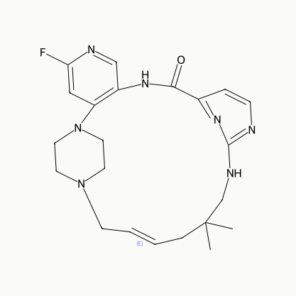 CC1(C)C/C=C/CN2CCN(CC2)c2cc(F)ncc2NC(=O)c2ccnc(n2)NC1